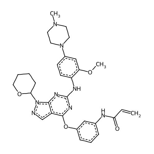 C=CC(=O)Nc1cccc(Oc2nc(Nc3ccc(N4CCN(C)CC4)cc3OC)nc3c2cnn3C2CCCCO2)c1